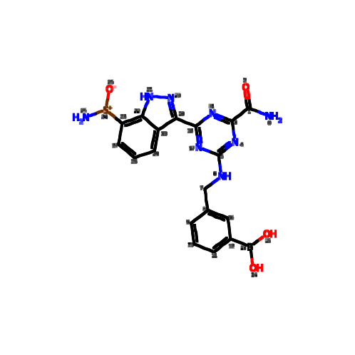 NC(=O)c1nc(NCc2cccc(B(O)O)c2)nc(-c2n[nH]c3c([S+](N)[O-])cccc23)n1